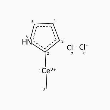 [CH3][Ce+2][c]1ccc[nH]1.[Cl-].[Cl-]